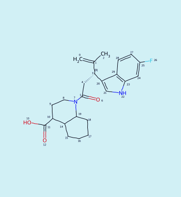 C=C(C)[C@@H](CC(=O)N1CCC(C(=O)O)C2CCCCC21)c1c[nH]c2cc(F)ccc12